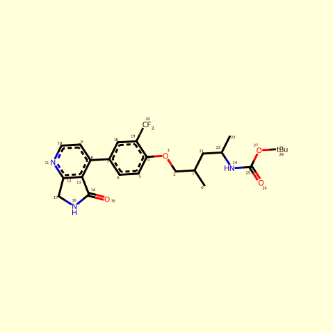 CC(COc1ccc(-c2ccnc3c2C(=O)NC3)cc1C(F)(F)F)CC(C)NC(=O)OC(C)(C)C